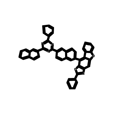 c1ccc(-c2nc(-c3ccc4ccccc4c3)nc(-c3ccc4cc(-c5c6oc(-c7ccccc7)nc6cc6oc7ccccc7c56)ccc4c3)n2)cc1